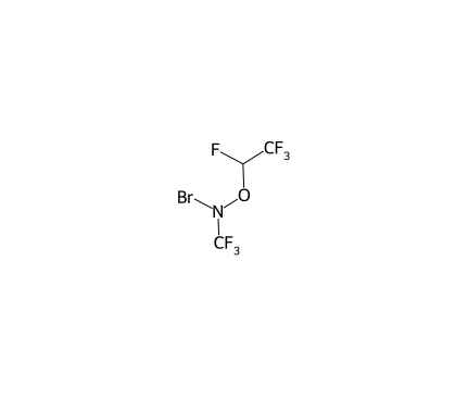 FC(ON(Br)C(F)(F)F)C(F)(F)F